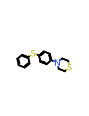 c1ccc(Sc2ccc(N3CCSCC3)cc2)cc1